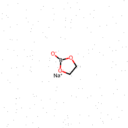 [Na+].[O-]B1OCCO1